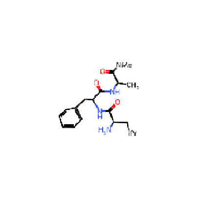 CNC(=O)C(C)NC(=O)C(Cc1ccccc1)NC(=O)C(N)CC(C)C